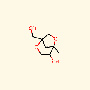 CC12CC(CO)(CO1)OCC2O